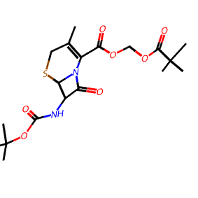 CC1=C(C(=O)OCOC(=O)C(C)(C)C)N2C(=O)C(NC(=O)OC(C)(C)C)C2SC1